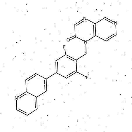 O=c1cnc2cnccc2n1Cc1c(F)cc(-c2ccc3ncccc3c2)cc1F